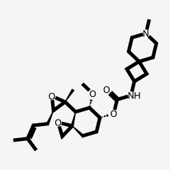 CO[C@@H]1[C@H](OC(=O)NC2CC3(CCN(C)CC3)C2)CC[C@]2(CO2)[C@H]1[C@@]1(C)O[C@@H]1CC=C(C)C